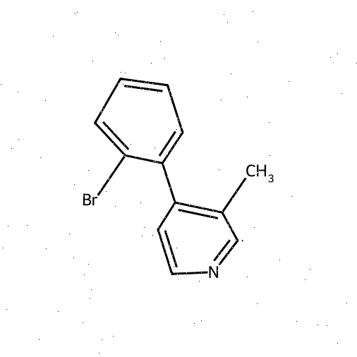 Cc1[c]nccc1-c1ccccc1Br